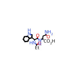 CCC(=O)NC(C(=O)N[C@H](CC(N)=O)C(=O)O)c1c[nH]c2ccccc12